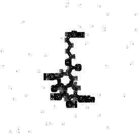 CCCCCCCCCCCCCCOC(=O)c1cc(O)c(=O)c2c(O)c(O)c(OC)cc2c1